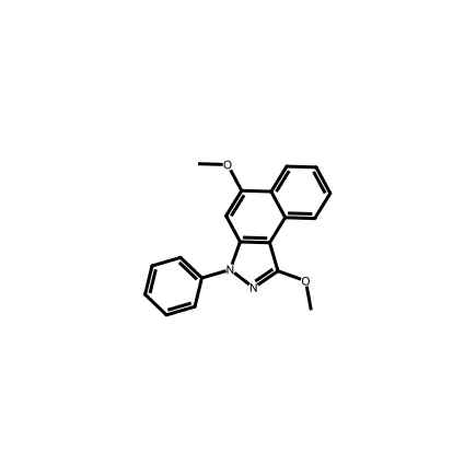 COc1cc2c(c(OC)nn2-c2ccccc2)c2ccccc12